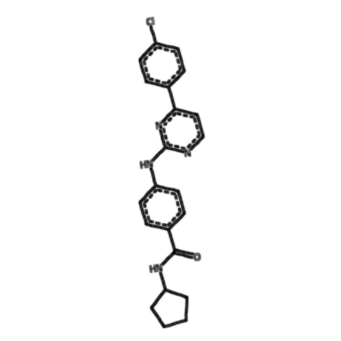 O=C(NC1CCCC1)c1ccc(Nc2nccc(-c3ccc(Cl)cc3)n2)cc1